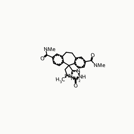 CNC(=O)c1ccc2c(c1)CCc1cc(C(=O)NC)ccc1C2(C[C@H](C)N)c1n[nH]c(=O)[nH]1